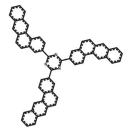 c1ccc2cc3c(ccc4cc(-c5nc(-c6ccc7c(ccc8cc9ccccc9cc87)c6)nc(-c6ccc7c(ccc8cc9ccccc9cc87)c6)n5)ccc43)cc2c1